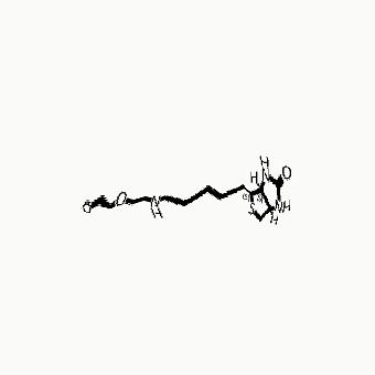 [O]CCOCCNCCCCC[C@@H]1SC[C@@H]2NC(=O)N[C@@H]21